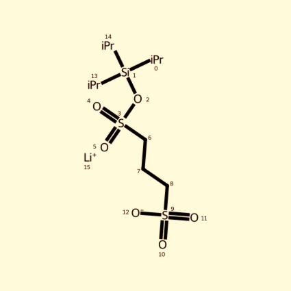 CC(C)[Si](OS(=O)(=O)CCCS(=O)(=O)[O-])(C(C)C)C(C)C.[Li+]